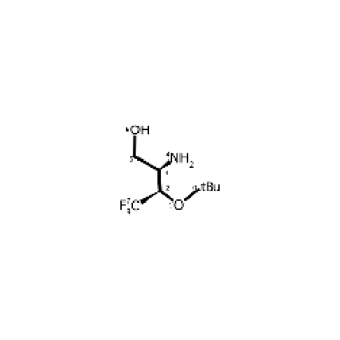 CC(C)(C)O[C@H]([C@H](N)CO)C(F)(F)F